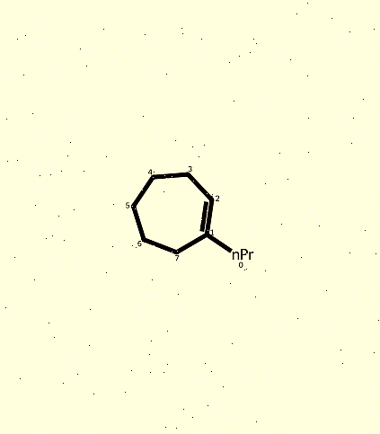 CCCC1=[C]CCCCC1